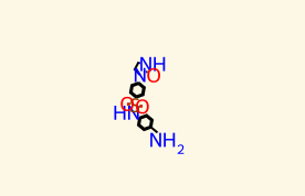 NCc1ccc(NS(=O)(=O)c2ccc(N3CCNC3=O)cc2)cc1